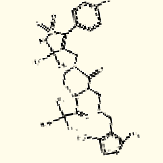 CCN(CC1=C(c2ccc(Cl)cc2)S(=O)(=O)NC1(C)C)C(=O)[C@@H](COCc1c(C)noc1C)NC(=O)C(C)(C)N